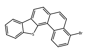 Brc1cccc2c1ccc1ccc3c4ccccc4sc3c12